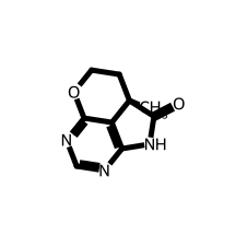 CC12CCOc3ncnc(c31)NC2=O